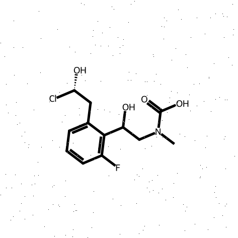 CN(CC(O)c1c(F)cccc1C[C@@H](O)Cl)C(=O)O